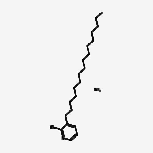 CCCCCCCCCCCCCCCCc1cccnc1Cl.N